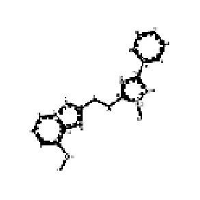 COc1cccn2nc(CCc3nc(-c4ccccc4)nn3C)nc12